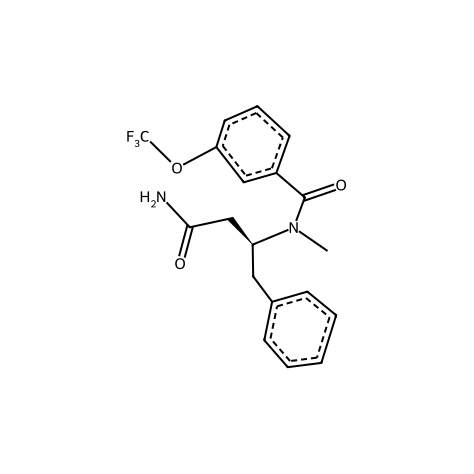 CN(C(=O)c1cccc(OC(F)(F)F)c1)[C@H](CC(N)=O)Cc1ccccc1